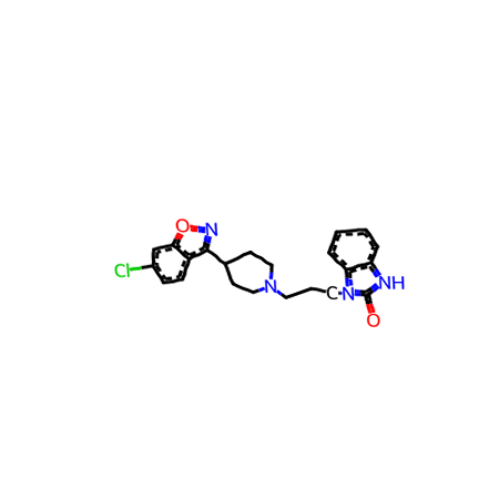 O=c1[nH]c2ccccc2n1CCCN1CCC(c2noc3cc(Cl)ccc23)CC1